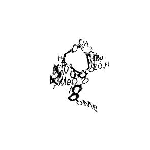 COc1ccc2nc(OC)c(O[C@@H]3C[C@H]4C(=O)N[C@]5(C(=O)NS(=O)(=O)C6(CF)CC6)C[C@H]5C=CCC[C@@H](C)C[C@@H](C)[C@H](N(C(=O)O)C(C)(C)C)C(=O)N4C3)cc2c1